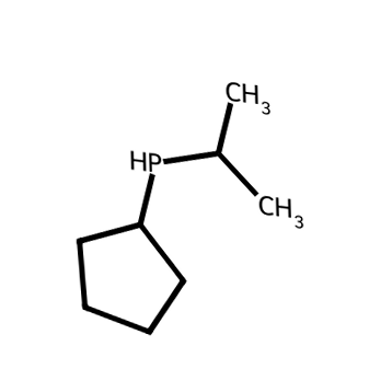 CC(C)PC1CCCC1